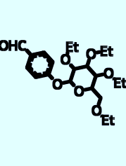 CCOCC1OC(Oc2ccc(C=O)cc2)C(OCC)C(OCC)C1OCC